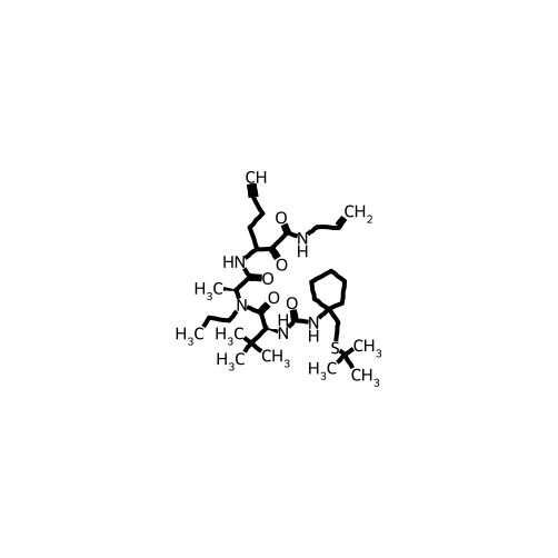 C#CCCC(NC(=O)[C@H](C)N(CCC)C(=O)[C@@H](NC(=O)NC1(CSC(C)(C)C)CCCCC1)C(C)(C)C)C(=O)C(=O)NCC=C